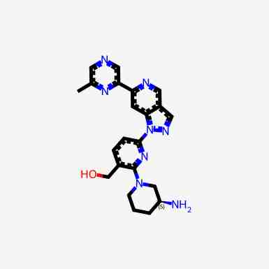 Cc1cncc(-c2cc3c(cn2)cnn3-c2ccc(CO)c(N3CCC[C@H](N)C3)n2)n1